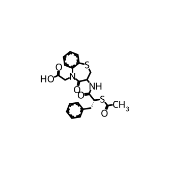 CC(=O)S[C@H](Cc1ccccc1)C(=O)NC1CSc2ccccc2N(CC(=O)O)C1=O